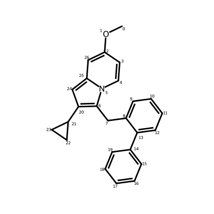 COc1ccn2c(Cc3ccccc3-c3ccccc3)c(C3CC3)cc2c1